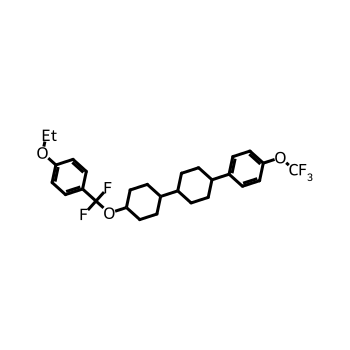 CCOc1ccc(C(F)(F)OC2CCC(C3CCC(c4ccc(OC(F)(F)F)cc4)CC3)CC2)cc1